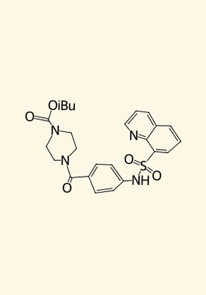 CC(C)COC(=O)N1CCN(C(=O)c2ccc(NS(=O)(=O)c3cccc4cccnc34)cc2)CC1